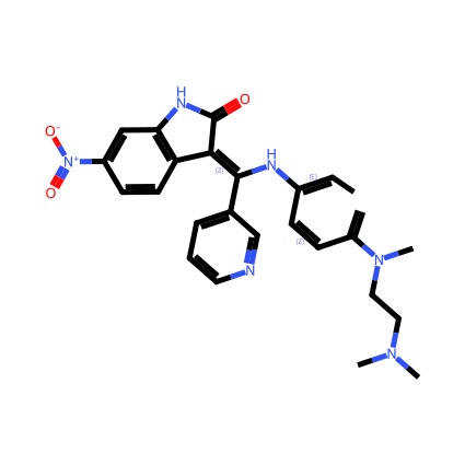 C=C(/C=C\C(=C/C)N/C(=C1\C(=O)Nc2cc([N+](=O)[O-])ccc21)c1cccnc1)N(C)CCN(C)C